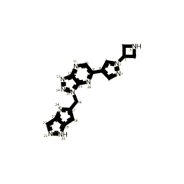 c1nn(C2CNC2)cc1-c1cnc2nnn(Cc3cc4[nH]ncc4s3)c2n1